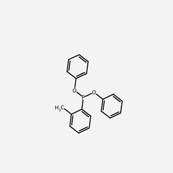 Cc1ccccc1P(Oc1ccccc1)Oc1ccccc1